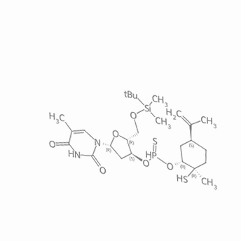 C=C(C)[C@H]1CC[C@@](C)(S)[C@H](O[PH](=S)O[C@H]2C[C@H](n3cc(C)c(=O)[nH]c3=O)O[C@@H]2CO[Si](C)(C)C(C)(C)C)C1